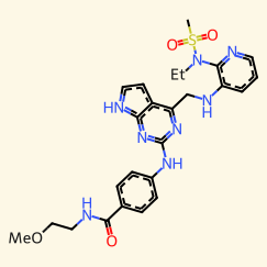 CCN(c1ncccc1NCc1nc(Nc2ccc(C(=O)NCCOC)cc2)nc2[nH]ccc12)S(C)(=O)=O